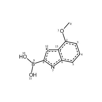 COc1cccc2nc(B(O)O)sc12